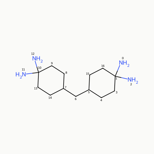 NC1(N)CCC(CC2CCC(N)(N)CC2)CC1